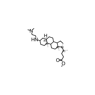 COC(=O)CC[C@@H](C)[C@H]1CCC2C3CC[C@@H]4CC(NCCN(C)C)CC[C@]4(C)C3CC[C@@]21C